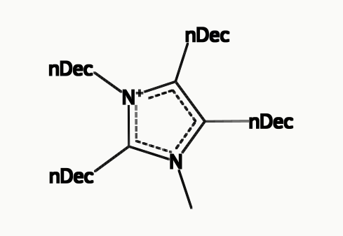 CCCCCCCCCCc1c(CCCCCCCCCC)[n+](CCCCCCCCCC)c(CCCCCCCCCC)n1C